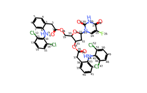 O=C(Cc1ccccc1Nc1c(Cl)cccc1Cl)OCC1OC(n2cc(F)c(=O)[nH]c2=O)CC1OC(=O)Cc1ccccc1Nc1c(Cl)cccc1Cl